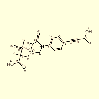 CC(O)C#Cc1ccc(N2C[C@H](CC(C)(C(=O)O)S(C)(=O)=O)OC2=O)cc1